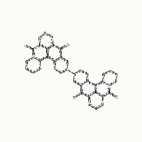 O=c1c2ccccc2n2c3ccc(-c4ccc5c(c4)c(=O)c4cncc6c(=O)c7ccccc7n5c64)cc3c(=O)c3cccc1c32